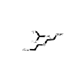 CC([SiH3])[SiH3].CCCCCCCCCCCCOCCCCCCCCCCCC